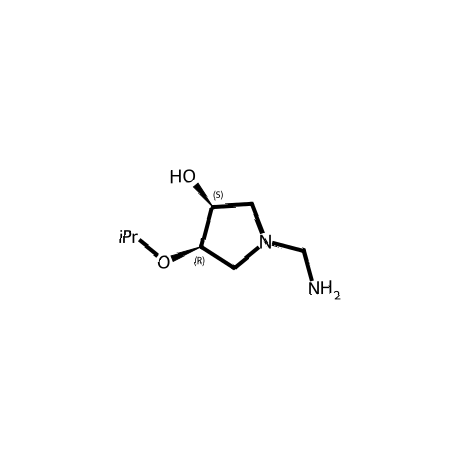 CC(C)O[C@@H]1CN(CN)C[C@@H]1O